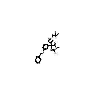 CN1C(=O)C(c2cccc(OCc3ccccc3)c2)(c2cnn(CC(F)(F)F)c2)N=C1N